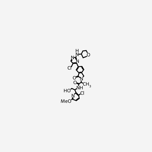 COc1ccc(Cl)c(C(CO)NC(=O)C(C)N2Cc3ccc(-c4nc(NC5CCOCC5)ncc4Cl)cc3C2=O)n1